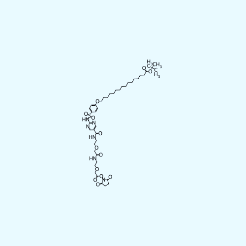 CC(C)(C)OC(=O)CCCCCCCCCCCCCCCOc1ccc(S(=O)(=O)Nc2ncc(C(=O)NCCOCC(=O)NCCOCC(=O)ON3C(=O)CCC3=O)cn2)cc1